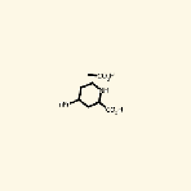 CC(=O)O.CCCC1CCNC(C(=O)O)C1